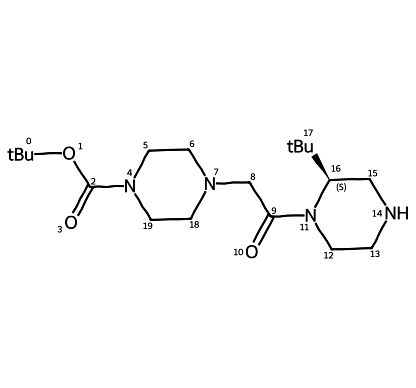 CC(C)(C)OC(=O)N1CCN(CC(=O)N2CCNC[C@@H]2C(C)(C)C)CC1